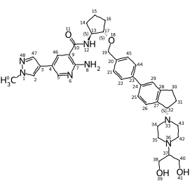 Cn1cc(-c2cnc(N)c(C(=O)N[C@H]3CCC[C@@H]3OCc3ccc(-c4ccc5c(c4)CC[C@@H]5N4CCN(C(CO)CO)CC4)cc3)c2)cn1